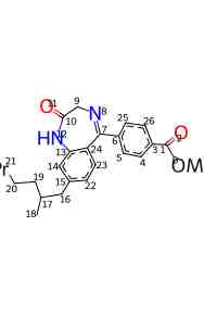 COC(=O)c1ccc(C2=NCC(=O)Nc3cc(CC(C)CCC(C)C)ccc32)cc1